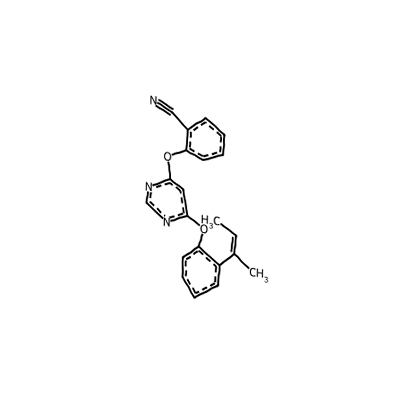 C/C=C(/C)c1ccccc1Oc1cc(Oc2ccccc2C#N)ncn1